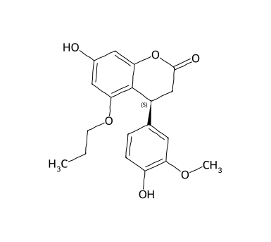 CCCOc1cc(O)cc2c1[C@H](c1ccc(O)c(OC)c1)CC(=O)O2